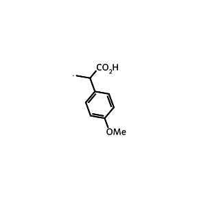 [CH2]C(C(=O)O)c1ccc(OC)cc1